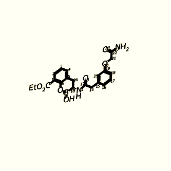 CCOC(=O)c1cccc2c1OB(O)[C@@H](NC(=O)Cc1cccc(OCC(N)=O)c1)C2